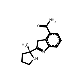 C[C@]1(C2=Nc3cccc(C(N)=O)c3C2)CCCN1